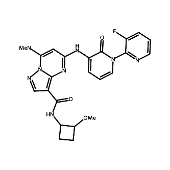 CNc1cc(Nc2cccn(-c3ncccc3F)c2=O)nc2c(C(=O)NC3CCC3OC)cnn12